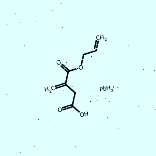 C=CCOC(=O)C(=C)CC(=O)O.[PbH2]